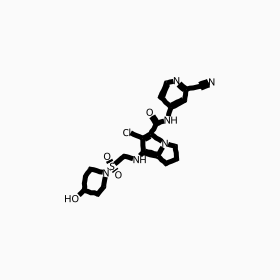 N#Cc1cc(NC(=O)c2c(Cl)c(NCS(=O)(=O)N3CCC(O)CC3)c3n2CCC3)ccn1